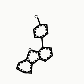 Clc1ccc(-c2cccc3c2oc2ccccc23)cc1